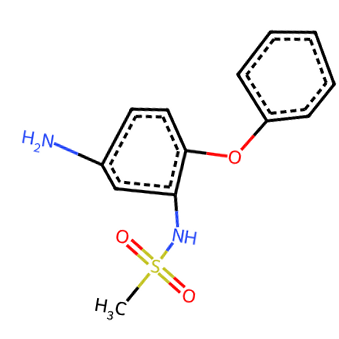 CS(=O)(=O)Nc1cc(N)ccc1Oc1ccccc1